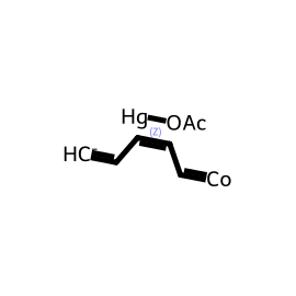 CC(=O)[O][Hg].[CH-]=C/C=C\[CH]=[Co]